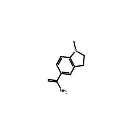 C=C(N)c1ccc2c(c1)CCN2C